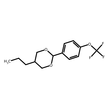 CCCC1COC(c2ccc(OC(F)(F)F)cc2)OC1